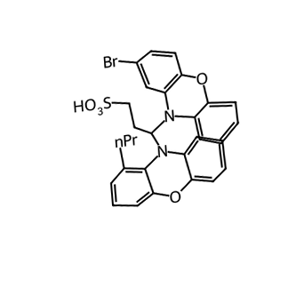 CCCc1cccc2c1N(C(CCS(=O)(=O)O)N1c3ccccc3Oc3ccc(Br)cc31)c1ccccc1O2